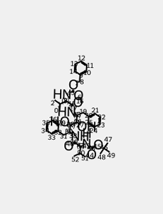 CC(C)[C@H](NC(=O)OCc1ccccc1)C(=O)N[C@@H](Cc1ccccc1)[C@@H](O)[C@H](O)[C@H](Cc1ccccc1)NC(=O)[C@@H](NC(=O)OC(C)(C)C)C(C)C